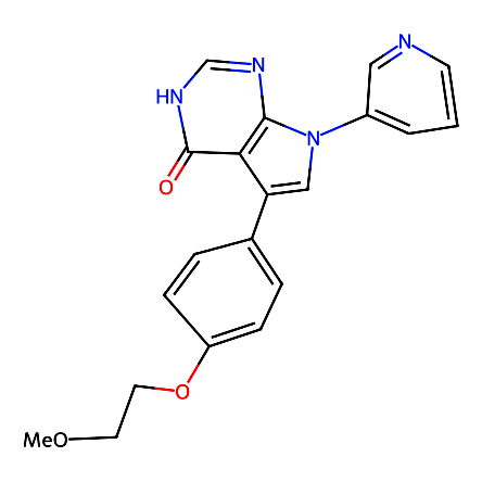 COCCOc1ccc(-c2cn(-c3cccnc3)c3nc[nH]c(=O)c23)cc1